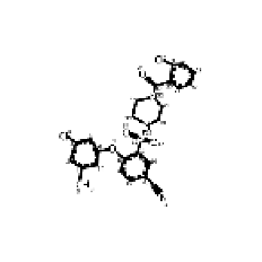 Cc1cc(Cl)cc(Oc2ccc(C#N)cc2S(=O)(=O)N2CCN(C(=O)c3ccccc3Cl)CC2)c1